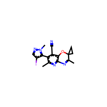 CC1=Nc2nc(C)c(-c3c(I)cnn3C)c(C#N)c2OC12CC2